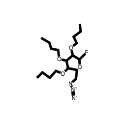 CCCCOC1C(F)OC(CN=[N+]=[N-])C(OCCCC)C1OCCCC